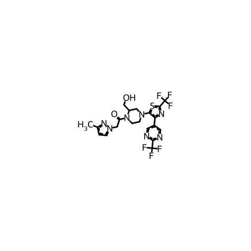 Cc1ccn(CC(=O)N2CCN(c3sc(C(F)(F)F)nc3-c3cnc(C(F)(F)F)nc3)CC2CO)n1